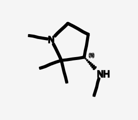 CN[C@H]1CCN(C)C1(C)C